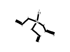 C=CC[Si](CC)(CC=C)CC=C